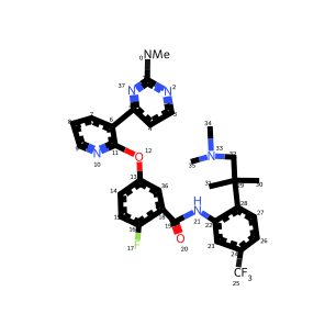 CNc1nccc(-c2cccnc2Oc2ccc(F)c(C(=O)Nc3cc(C(F)(F)F)ccc3C(C)(C)CN(C)C)c2)n1